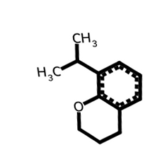 CC(C)c1cccc2c1OCCC2